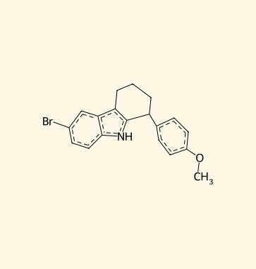 COc1ccc(C2CCCc3c2[nH]c2ccc(Br)cc32)cc1